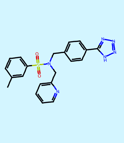 Cc1cccc(S(=O)(=O)N(Cc2ccc(-c3nnn[nH]3)cc2)Cc2ccccn2)c1